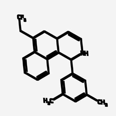 Cc1cc(C)cc(C2NC=CC3CC(CC(F)(F)F)=c4ccccc4=C32)c1